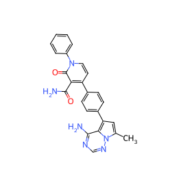 Cc1cc(-c2ccc(-c3ccn(-c4ccccc4)c(=O)c3C(N)=O)cc2)c2c(N)ncnn12